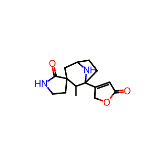 CC1C2(CCNC2=O)CC2CCC1(C1=CC(=O)OC1)N2